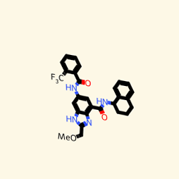 COCc1nc2c(C(=O)NC3CCCc4ccccc43)cc(NC(=O)c3ccccc3C(F)(F)F)cc2[nH]1